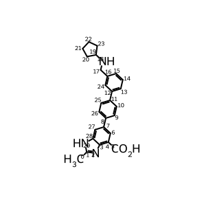 Cc1nc2c(C(=O)O)cc(-c3ccc(-c4cccc(CNC5CCCC5)c4)cc3)cc2[nH]1